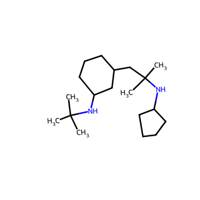 CC(C)(C)NC1CCCC(CC(C)(C)NC2CCCC2)C1